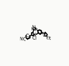 CC[C@H]1CCN(c2ccc3c(c2)Cn2c(cc(-c4ccc(C#N)cc4)c2Cl)-c2nncn2-3)C1